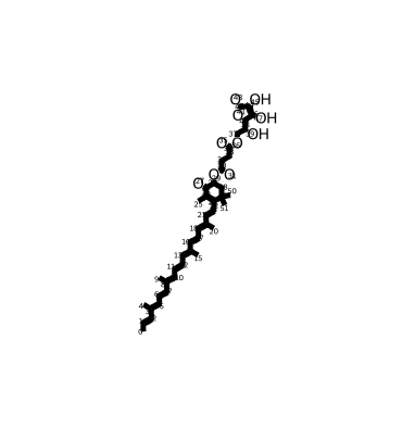 C/C=C/C(C)=C/C=C/C(C)=C/C=C/C=C(C)/C=C/C=C(C)/C=C/C1=C(C)C(=O)C(OC(=O)CCC(=O)OC[C@H](O)[C@H]2OC(=O)C(O)=C2O)CC1(C)C